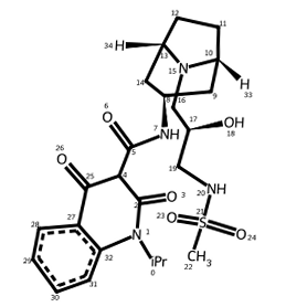 CC(C)N1C(=O)C(C(=O)N[C@@H]2C[C@H]3CC[C@@H](C2)N3C[C@@H](O)CNS(C)(=O)=O)C(=O)c2ccccc21